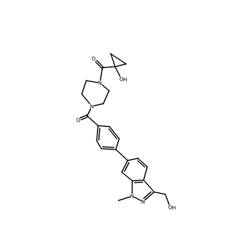 Cn1nc(CO)c2ccc(-c3ccc(C(=O)N4CCN(C(=O)C5(O)CC5)CC4)cc3)cc21